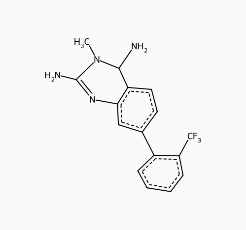 CN1C(N)=Nc2cc(-c3ccccc3C(F)(F)F)ccc2C1N